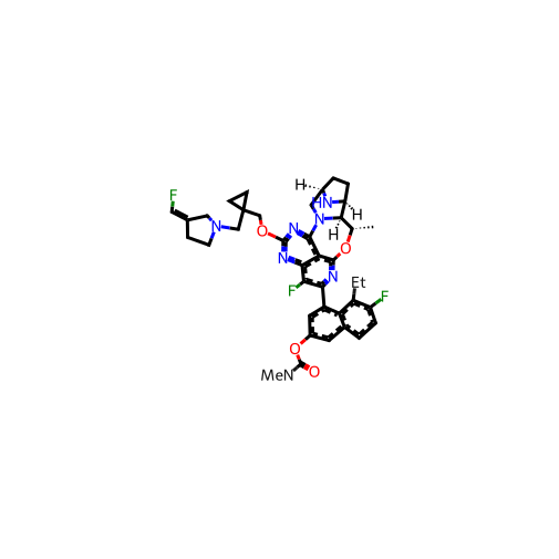 CCc1c(F)ccc2cc(OC(=O)NC)cc(-c3nc4c5c(nc(OCC6(CN7CC/C(=C/F)C7)CC6)nc5c3F)N3C[C@H]5CC[C@H](N5)[C@H]3[C@H](C)O4)c12